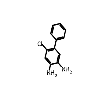 Nc1cc(Cl)c(-c2ccccc2)cc1N